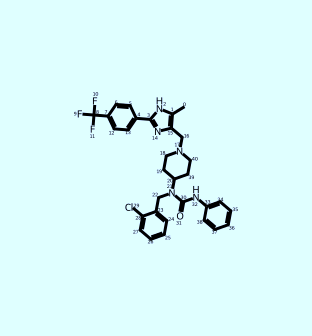 Cc1[nH]c(-c2ccc(C(F)(F)F)cc2)nc1CN1CCC(N(Cc2ccccc2Cl)C(=O)Nc2ccccc2)CC1